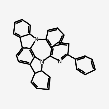 C1=CC2c3ccc4c5ccccc5n(-c5ccccc5)c4c3N(c3cccc(-c4ccccc4)n3)C2C=C1